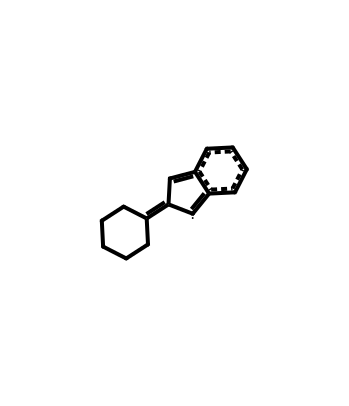 [C]1=c2ccccc2=CC1=C1CCCCC1